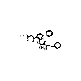 CC(Oc1nc(-c2ccccc2)ccc1NCC(N)CS)C(=O)NCCC1CCCCC1